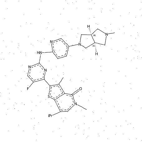 Cc1c(-c2nc(Nc3ccc(N4C[C@H]5CN(C)C[C@H]5C4)cn3)ncc2F)sc2c(C(C)C)cn(C)c(=O)c12